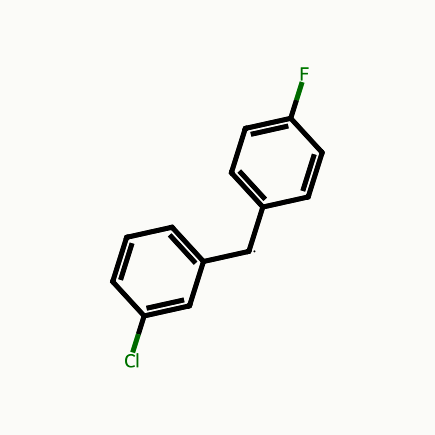 Fc1ccc([CH]c2cccc(Cl)c2)cc1